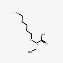 O=C(O)[C@H](CO)NCCCCCO